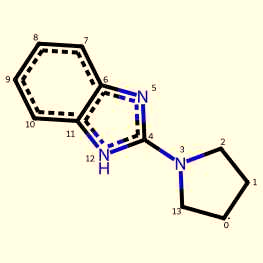 [CH]1CCN(c2nc3ccccc3[nH]2)C1